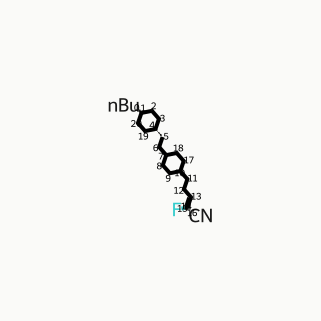 CCCC[C@H]1CC[C@H](CCC2CCC(CCC=C(F)C#N)CC2)CC1